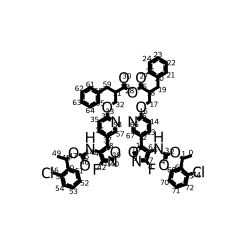 CC(OC(=O)Nc1c(F)noc1-c1ccc(OCC(Cc2ccccc2)C(=O)OC(=O)C(COc2ccc(-c3onc(F)c3NC(=O)OC(C)c3ccccc3Cl)cn2)Cc2ccccc2)nc1)c1ccccc1Cl